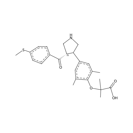 CSc1ccc(C(=O)[C@@H]2CNCC2c2cc(C)c(OC(C)(C)C(=O)O)c(C)c2)cc1